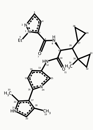 CCn1nccc1C(=O)N[C@H](C(=O)Nc1ccc(-c2c(C)c[nH]c2C)nc1)C(C1CC1)C1(C)CC1